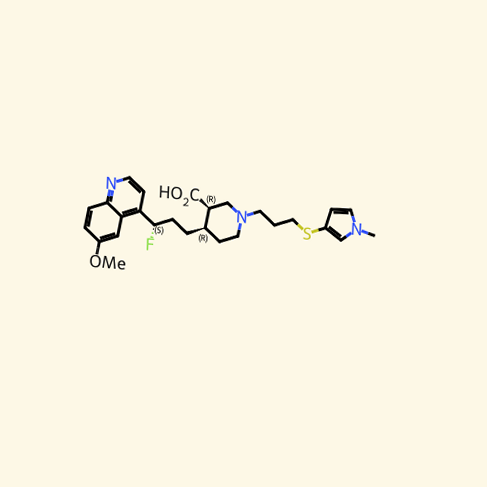 COc1ccc2nccc([C@@H](F)CC[C@@H]3CCN(CCCSc4ccn(C)c4)C[C@@H]3C(=O)O)c2c1